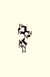 c1ncc2ncn(-c3c[nH]nn3)c2n1